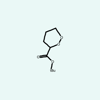 CC(C)(C)OC(=O)C1CCCOO1